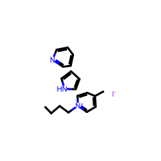 CCCC[n+]1ccc(C)cc1.[I-].c1cc[nH]c1.c1ccncc1